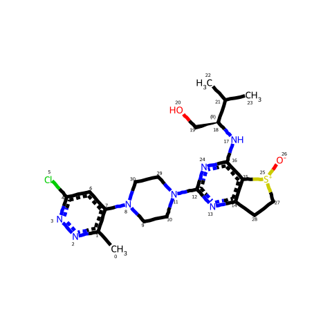 Cc1nnc(Cl)cc1N1CCN(c2nc3c(c(N[C@@H](CO)C(C)C)n2)[S+]([O-])CC3)CC1